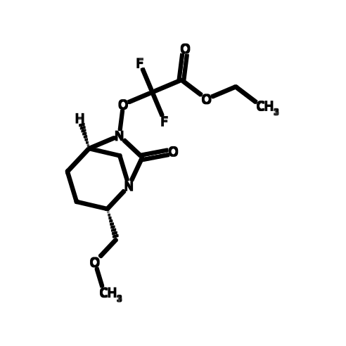 CCOC(=O)C(F)(F)ON1C(=O)N2C[C@H]1CC[C@H]2COC